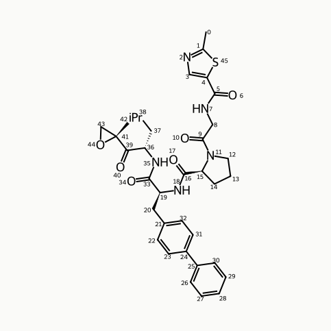 Cc1ncc(C(=O)NCC(=O)N2CCC[C@H]2C(=O)N[C@@H](Cc2ccc(-c3ccccc3)cc2)C(=O)N[C@@H](CC(C)C)C(=O)[C@@]2(C)CO2)s1